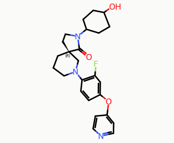 O=C1N(C2CCC(O)CC2)CC[C@@]12CCCN(c1ccc(Oc3ccncc3)cc1F)C2